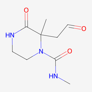 CNC(=O)N1CCNC(=O)C1(C)CC=O